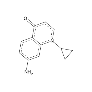 Nc1ccc2c(=O)ccn(C3CC3)c2c1